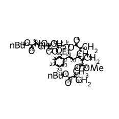 C=C(C)C(=O)OCC1CO1.C=C(C)C(=O)OCCCC.C=C(CC=Cc1ccccc1)C(=O)OC.C=C(O)C(=O)OCC.C=CC(=O)OCCCC